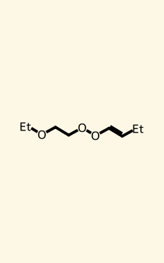 CCC=COOCCOCC